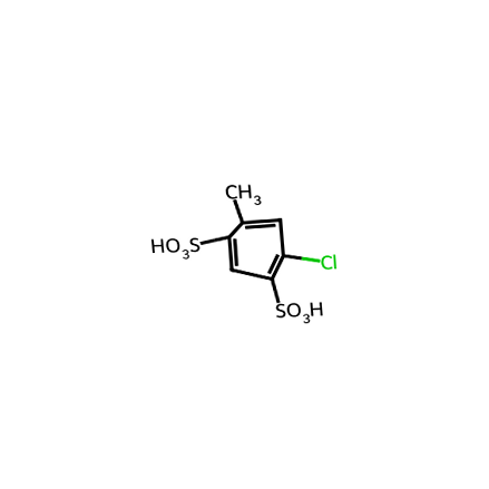 Cc1cc(Cl)c(S(=O)(=O)O)cc1S(=O)(=O)O